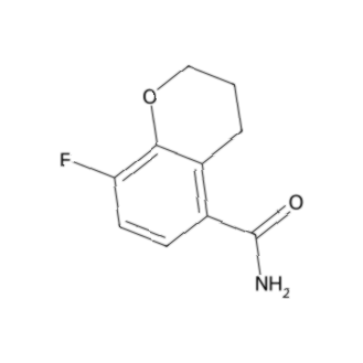 NC(=O)c1ccc(F)c2c1CCCO2